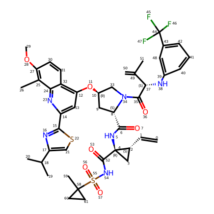 C=C[C@@H]1C[C@]1(NC(=O)[C@@H]1C[C@@H](Oc2cc(-c3nc(C(C)C)cs3)nc3c(C)c(OC)ccc23)CN1C(=O)[C@@H](Nc1cccc(C(F)(F)F)c1)C(=C)C)C(=O)NS(=O)(=O)C1(C)CC1